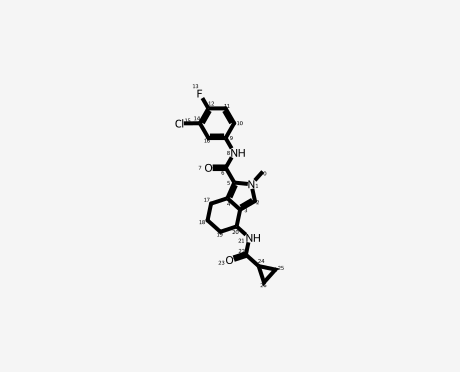 Cn1cc2c(c1C(=O)Nc1ccc(F)c(Cl)c1)CCCC2NC(=O)C1CC1